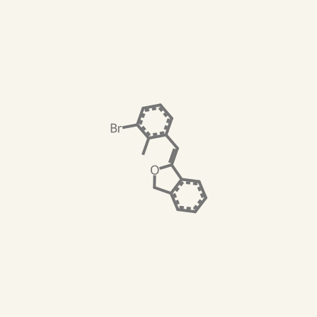 Cc1c(Br)cccc1C=C1OCc2ccccc21